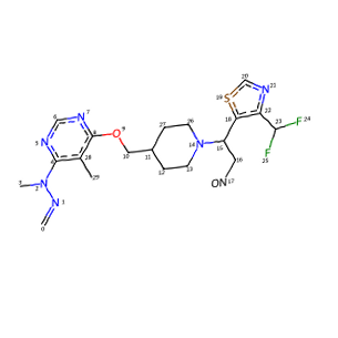 C=NN(C)c1ncnc(OCC2CCN(C(CN=O)c3scnc3C(F)F)CC2)c1C